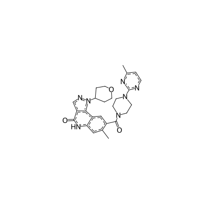 Cc1ccnc(N2CCN(C(=O)c3cc4c(cc3C)[nH]c(=O)c3cnn(C5CCOCC5)c34)CC2)n1